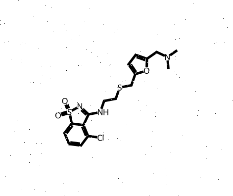 CN(C)Cc1ccc(CSCCNC2=NS(=O)(=O)c3cccc(Cl)c32)o1